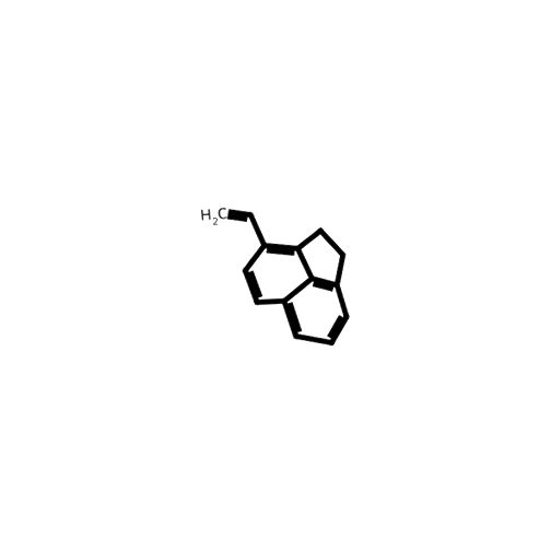 C=Cc1ccc2cccc3c2c1CC3